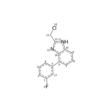 Fc1cccc(-c2cccc3[nH]c(CCl)nc23)c1